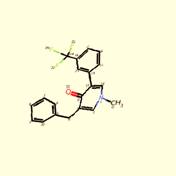 Cn1cc(Cc2ccccc2)c(=O)c(-c2cccc(C(F)(F)F)c2)c1